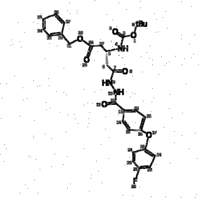 CC(C)(C)OC(=O)N[C@H](CC(=O)NNC(=O)c1ccc(Oc2ccc(F)cc2)cc1)CC(=O)OCc1ccccc1